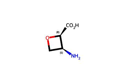 N[C@H]1CO[C@H]1C(=O)O